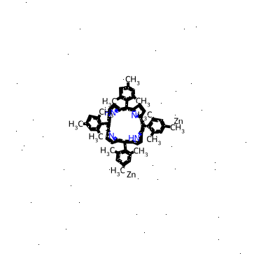 Cc1cc(C)c(-c2c3nc(c(-c4c(C)cc(C)cc4C)c4ccc([nH]4)c(-c4c(C)cc(C)cc4C)c4nc(c(-c5c(C)cc(C)cc5C)c5ccc2[nH]5)C=C4)C=C3)c(C)c1.[Zn].[Zn]